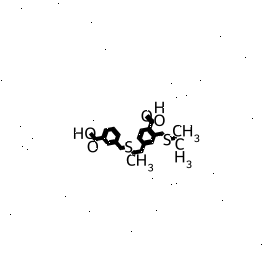 CC(C)SCc1cc(CC(C)SCc2cccc(C(=O)O)c2)ccc1C(=O)O